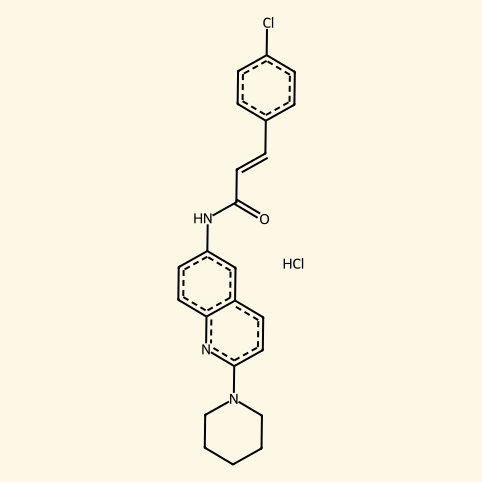 Cl.O=C(C=Cc1ccc(Cl)cc1)Nc1ccc2nc(N3CCCCC3)ccc2c1